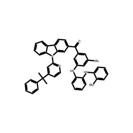 CC(C)(C)c1cc(Nc2ccccc2Nc2ccccc2C(C)(C)C)cc(C(=O)c2ccc3c4ccccc4n(-c4cc(C(C)(C)c5ccccc5)ccn4)c3c2)c1